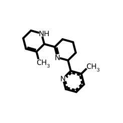 CC1=CCCNC1C1=NC(c2ncccc2C)CCC1